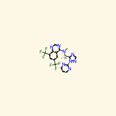 C[C@@H](c1ncnn1-c1ncccn1)N(C)c1ncnc2c(C(F)(F)F)cc(C(F)(F)F)cc12